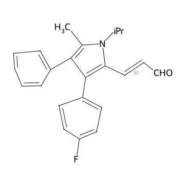 Cc1c(-c2ccccc2)c(-c2ccc(F)cc2)c(/C=C/C=O)n1C(C)C